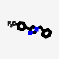 FC(F)(F)c1ccc(-c2cn(Cc3ccccc3)cn2)cc1